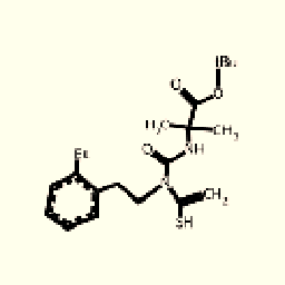 C=C(S)N(CCc1ccccc1CC)C(=O)NC(C)(C)C(=O)OC(C)(C)C